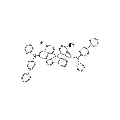 CC(C)c1cc2c(c3ccc(N(c4ccccc4)c4ccc(-c5ccccc5)cc4)cc13)C1(c3ccccc3-c3ccccc31)c1c-2cc(C(C)C)c2cc(N(c3ccccc3)c3ccc(-c4ccccc4)cc3)ccc12